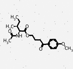 CC[C@H](C)[C@H](NC(C)=O)C(=O)OCCCC(=O)c1ccc(OC)cc1